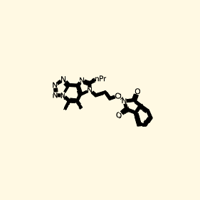 CCCc1nc2c(c(C)c(C)n3nnnc23)n1CCCON1C(=O)c2ccccc2C1=O